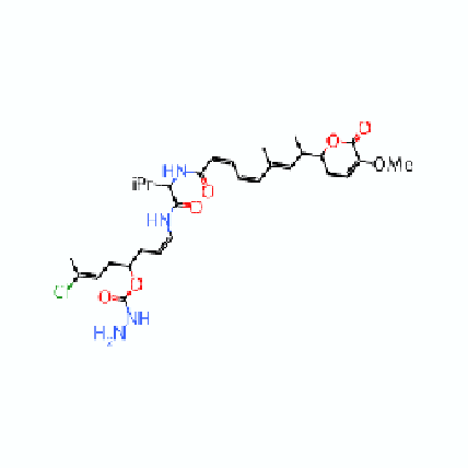 COC1=CCC(C(C)/C=C(C)/C=C\C=C/C(=O)NC(C(=O)N/C=C\CC(C/C=C(\C)Cl)OC(=O)NN)C(C)C)OC1=O